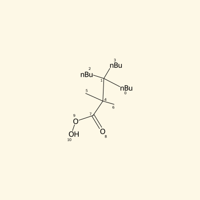 CCCCC(CCCC)(CCCC)C(C)(C)C(=O)OO